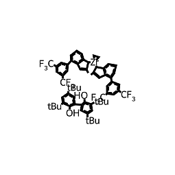 CC(C)(C)c1cc(-c2cc(C(C)(C)C)cc(C(C)(C)C)c2O)c(O)c(C(C)(C)C)c1.CC1=Cc2c(-c3cc(C(F)(F)F)cc(C(F)(F)F)c3)cccc2[CH]1[Zr]1([CH]2C(C)=Cc3c(-c4cc(C(F)(F)F)cc(C(F)(F)F)c4)cccc32)[CH2][CH2]1